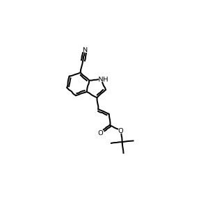 CC(C)(C)OC(=O)/C=C/c1c[nH]c2c(C#N)cccc12